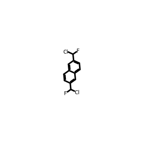 FC(Cl)c1ccc2cc(C(F)Cl)ccc2c1